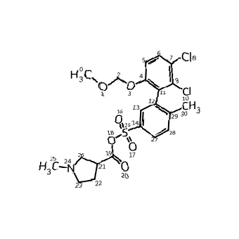 COCOc1ccc(Cl)c(Cl)c1-c1cc(S(=O)(=O)OC(=O)C2CCN(C)C2)ccc1C